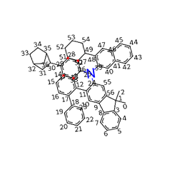 CC1(C)c2ccccc2-c2cc(-c3ccccc3-c3ccccc3)c(N(c3ccc(C4CC5CCC4C5)cc3)c3cc4ccccc4cc3C3CCCCC3)cc21